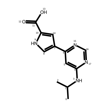 CC(C)Nc1cc(-c2c[nH]c(C(=O)O)c2)ncn1